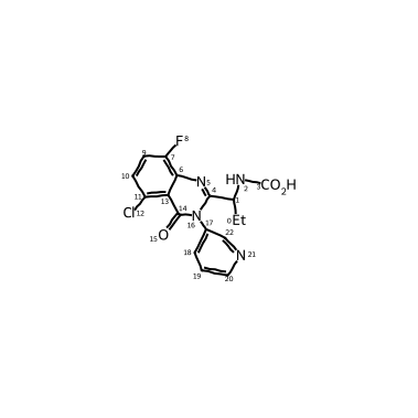 CCC(NC(=O)O)c1nc2c(F)ccc(Cl)c2c(=O)n1-c1cccnc1